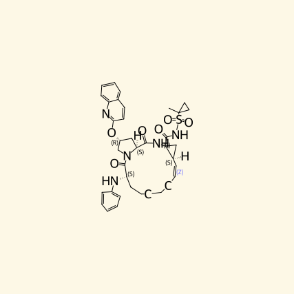 CC1(S(=O)(=O)NC(=O)[C@@]23C[C@H]2/C=C\CCCCC[C@H](Nc2ccccc2)C(=O)N2C[C@H](Oc4ccc5ccccc5n4)C[C@H]2C(=O)N3)CC1